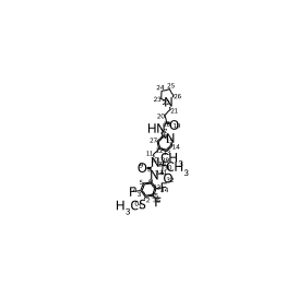 CSc1c(F)cc(N2C(=O)N(Cc3ccnc(NC(=O)CCN4CCCC4)c3)C(C)(C)C2=O)c(F)c1F